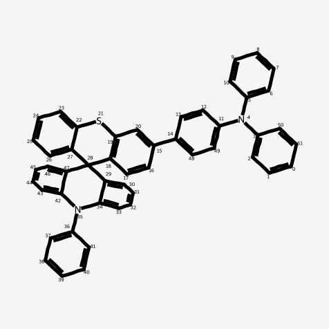 c1ccc(N(c2ccccc2)c2ccc(-c3ccc4c(c3)Sc3ccccc3C43c4ccccc4N(c4ccccc4)c4ccccc43)cc2)cc1